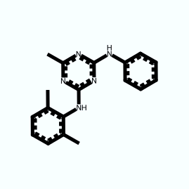 Cc1nc(Nc2ccccc2)nc(Nc2c(C)cccc2C)n1